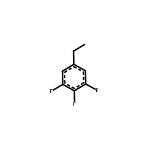 C[CH]c1cc(F)c(F)c(F)c1